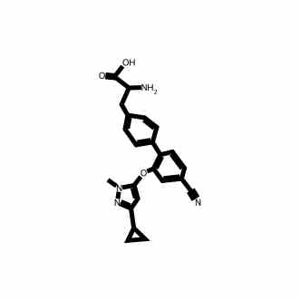 Cn1nc(C2CC2)cc1Oc1cc(C#N)ccc1-c1ccc(CC(N)C(=O)O)cc1